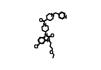 CCOCCCn1c(=O)n(C2CCN(C(=O)C3CCN(Cc4ccncc4)CC3)CC2)c2ccc(Cl)cc21